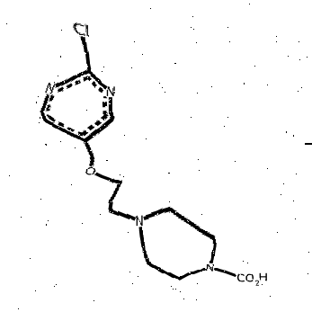 O=C(O)N1CCN(CCOc2cnc(Cl)nc2)CC1